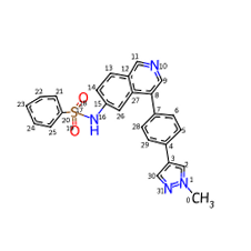 Cn1cc(-c2ccc(-c3cncc4ccc(NS(=O)(=O)c5ccccc5)cc34)cc2)cn1